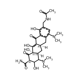 CC(=O)NCc1cc(N(C)C)c2c(c1O)C(=O)C1=C(O)[C@]3(O)C(=O)[C@H](C(N)=O)C(O)C(N(C)C)[C@@H]3C[C@@H]1C2